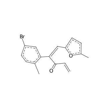 C=CC(=O)/C(=C\c1ccc(C)o1)c1cc(Br)ccc1C